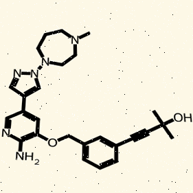 CN1CCCN(n2cc(-c3cnc(N)c(OCc4cccc(C#CC(C)(C)O)c4)c3)cn2)CC1